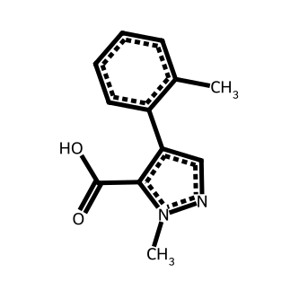 Cc1ccccc1-c1cnn(C)c1C(=O)O